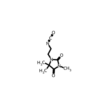 CN1C(=O)N(CCN=C=O)C(C)(C)C1=O